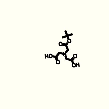 CC(C)(C)OC(=O)CN(CC(=O)O)CC(=O)O